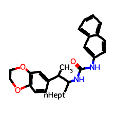 CCCCCCCC(NC(=O)Nc1ccc2ccccc2c1)C(C)c1ccc2c(c1)OCCO2